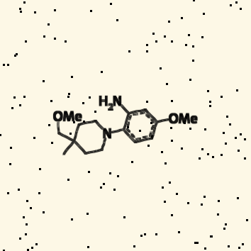 COCC1(C)CCN(c2ccc(OC)cc2N)CC1